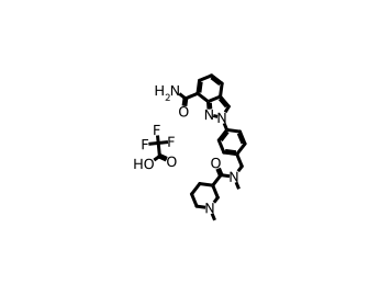 CN1CCCC(C(=O)N(C)Cc2ccc(-n3cc4cccc(C(N)=O)c4n3)cc2)C1.O=C(O)C(F)(F)F